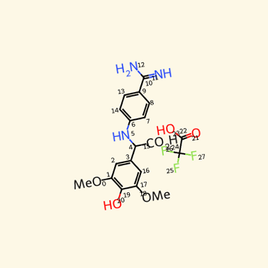 COc1cc(C(Nc2ccc(C(=N)N)cc2)C(=O)O)cc(OC)c1O.O=C(O)C(F)(F)F